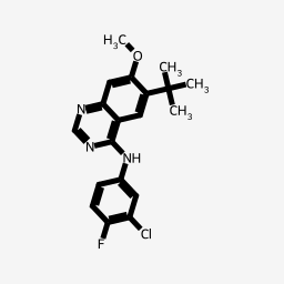 COc1cc2ncnc(Nc3ccc(F)c(Cl)c3)c2cc1C(C)(C)C